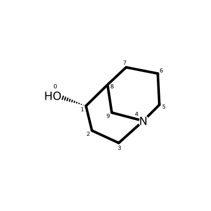 O[C@H]1CCN2CCCC1C2